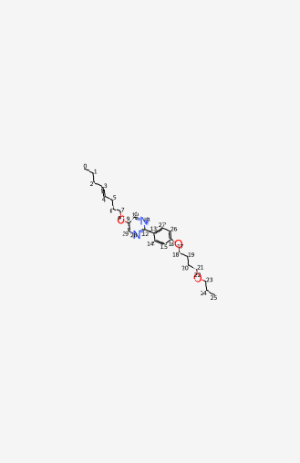 CCCC=CCCCOc1cnc(-c2ccc(OCCCCOCCC)cc2)nc1